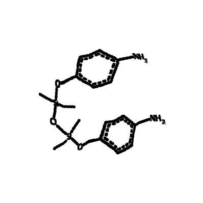 C[Si](C)(Oc1ccc(N)cc1)O[Si](C)(C)Oc1ccc(N)cc1